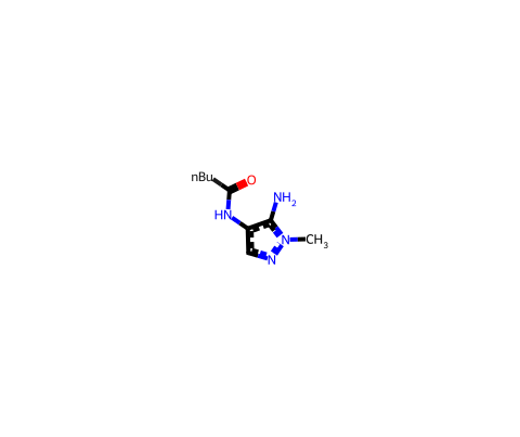 CCCCC(=O)Nc1cnn(C)c1N